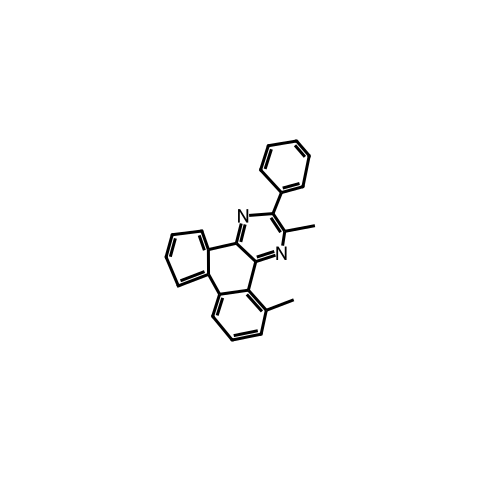 Cc1nc2c(nc1-c1ccccc1)c1ccccc1c1cccc(C)c12